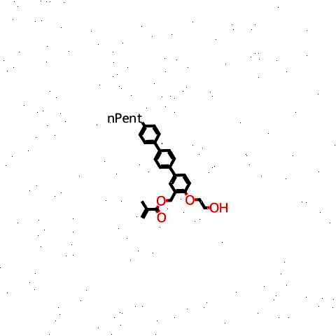 C=C(C)C(=O)OCc1cc(-c2ccc(-c3ccc(CCCCC)cc3)cc2)ccc1OCCO